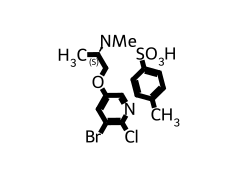 CN[C@@H](C)COc1cnc(Cl)c(Br)c1.Cc1ccc(S(=O)(=O)O)cc1